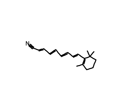 CC1=C(/C=C/C=C/C=C/C=C/C#N)C(C)(C)CCC1